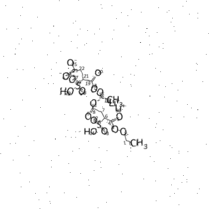 CCOOC(=O)C(CC(=O)[O-])S(=O)(=O)O.CCOOC(=O)C(CC(=O)[O-])S(=O)(=O)O.[Li+].[Li+]